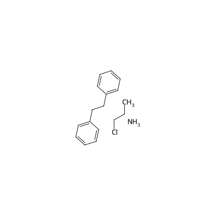 CCCCl.N.c1ccc(CCc2ccccc2)cc1